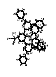 FC(F)(F)c1cc(-c2nc(-c3ccccc3)cc(-c3ccccc3)n2)c(-n2c3ccccc3c3cc(C(F)(F)F)ccc32)c(-c2nc(-c3ccccc3)cc(-c3ccccc3)n2)c1